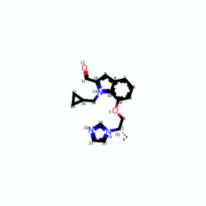 C[C@@H](COc1cccc2cc(C=O)n(CC3CC3)c12)n1ccnc1